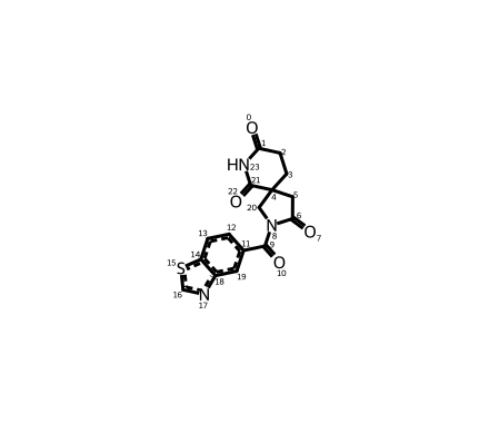 O=C1CCC2(CC(=O)N(C(=O)c3ccc4scnc4c3)C2)C(=O)N1